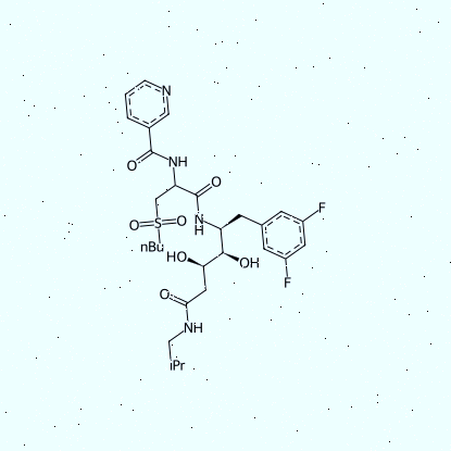 CCCCS(=O)(=O)CC(NC(=O)c1cccnc1)C(=O)N[C@@H](Cc1cc(F)cc(F)c1)[C@@H](O)[C@H](O)CC(=O)NCC(C)C